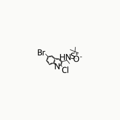 CC(N[S@@+]([O-])C(C)(C)C)c1cc2cc(Br)ccc2nc1Cl